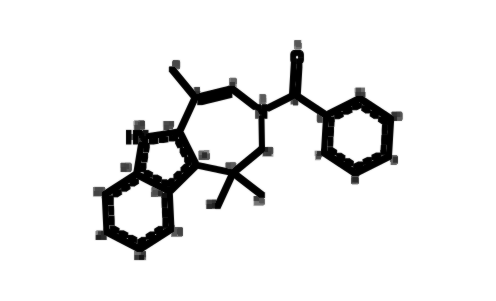 CC1=CN(C(=O)c2ccccc2)CC(C)(C)c2c1[nH]c1ccccc21